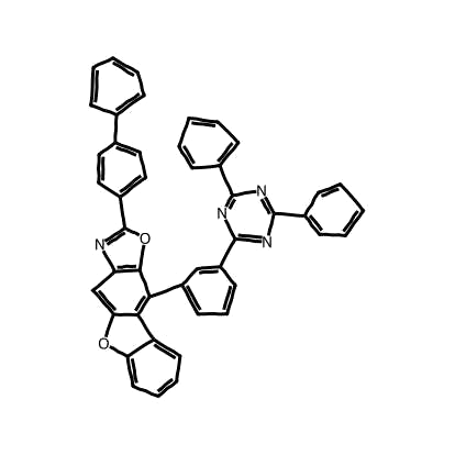 c1ccc(-c2ccc(-c3nc4cc5oc6ccccc6c5c(-c5cccc(-c6nc(-c7ccccc7)nc(-c7ccccc7)n6)c5)c4o3)cc2)cc1